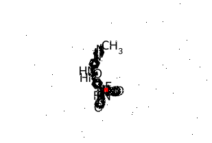 CCN1CCN(c2ccc(NC(=O)Nc3ccc(-c4nc(N5C6COCC5C(F)(F)C6)nc(N5C6COCC5C(F)(F)C6)n4)cc3)cc2)CC1